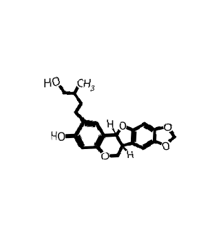 CC(CO)CCc1cc2c(cc1O)OC[C@H]1c3cc4c(cc3O[C@@H]21)OCO4